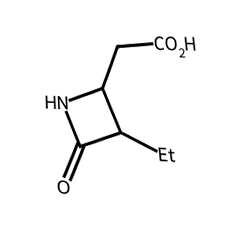 CCC1C(=O)NC1CC(=O)O